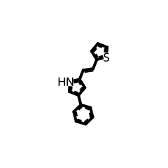 C(=Cc1cccs1)c1cc(-c2ccccc2)c[nH]1